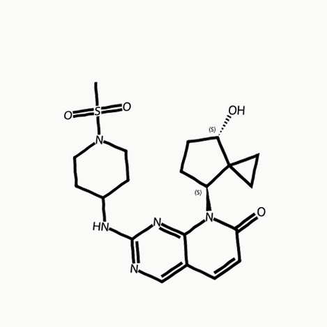 CS(=O)(=O)N1CCC(Nc2ncc3ccc(=O)n([C@H]4CC[C@H](O)C45CC5)c3n2)CC1